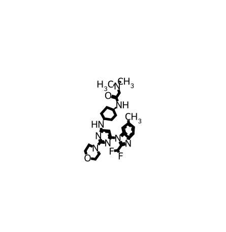 Cc1ccc2nc(C(F)F)n(-c3cc(N[C@H]4CC[C@H](NC(=O)CN(C)C)CC4)nc(N4CCOCC4)n3)c2c1